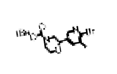 Cc1cc(C2CN(C(=O)OC(C)(C)C)CCO2)cnc1Br